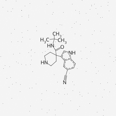 CC(C)(C)NC(=O)C1(c2c[nH]c3ccc(C#N)cc23)CCNCC1